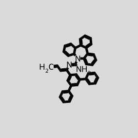 C=C/C=C(\N=C(/N)N1c2ccccc2-c2ccccc2C2C=CC=CC21)c1cc(-c2ccccc2)cc(-c2ccccc2)c1